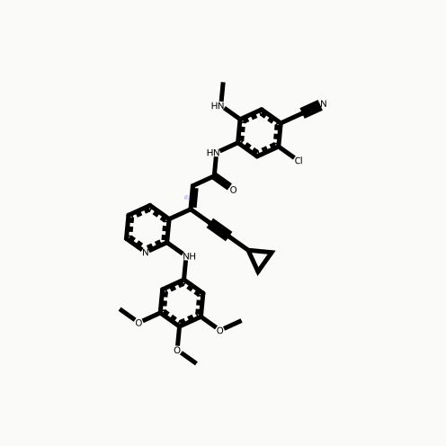 CNc1cc(C#N)c(Cl)cc1NC(=O)/C=C(\C#CC1CC1)c1cccnc1Nc1cc(OC)c(OC)c(OC)c1